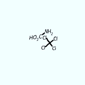 ClC(Cl)(Cl)Cl.NC(=O)O